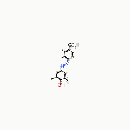 Cc1cc(N=Nc2ccc(C(=O)O)cc2)cc(C)c1O